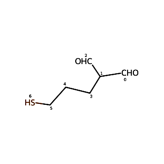 O=CC(C=O)CCCS